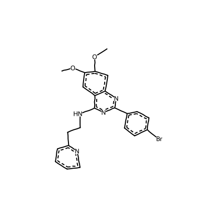 COc1cc2nc(-c3ccc(Br)cc3)nc(NCCc3ccccn3)c2cc1OC